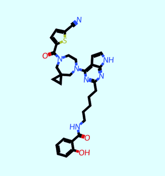 N#Cc1ccc(C(=O)N2CCN(c3nc(CCCCCNC(=O)c4ccccc4O)nc4[nH]ccc34)CC3(CC3)C2)s1